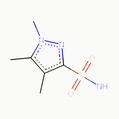 Cc1c(S(N)(=O)=O)nn(C)c1C